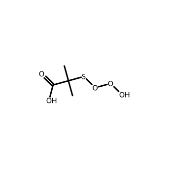 CC(C)(SOOO)C(=O)O